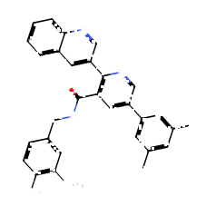 COc1ccc(CNC(=O)c2cc(-c3cc(C)cc(C)c3)cnc2-c2cnc3ccccc3c2)cc1OC